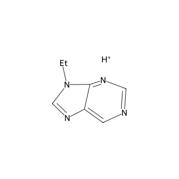 [CH2]Cn1cnc2cncnc21.[H+]